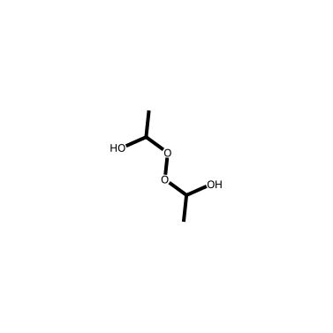 CC(O)OOC(C)O